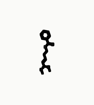 COC(C=CCCOC(=O)c1ccccc1)OC